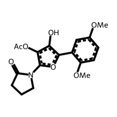 COc1ccc(OC)c(-c2oc(N3CCCC3=O)c(OC(C)=O)c2O)c1